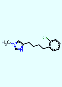 Cn1cnc(CCCCc2ccccc2Cl)c1